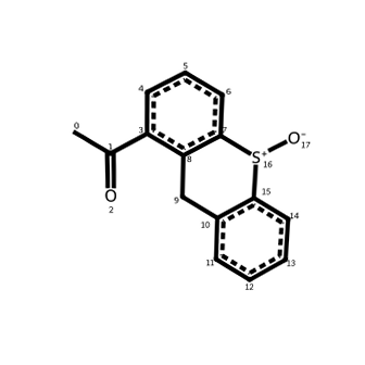 CC(=O)c1cccc2c1Cc1ccccc1[S+]2[O-]